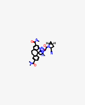 C[C@@H](CC1(c2nnn[nH]2)c2ccc(C(=O)N(C)C)cc2CCc2cc(C(=O)N(C)C)ccc21)NCC(=O)N1C(C#N)C[C@@H]2C[C@@H]21